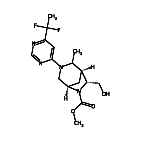 COC(=O)N1[C@@H]2C[C@@H](C(C)N(c3cc(C(C)(F)F)ncn3)C2)[C@@H]1CO